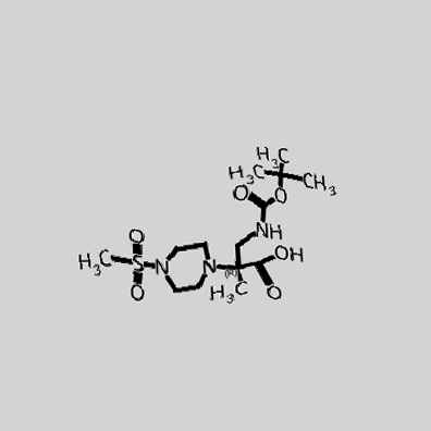 CC(C)(C)OC(=O)NC[C@](C)(C(=O)O)N1CCN(S(C)(=O)=O)CC1